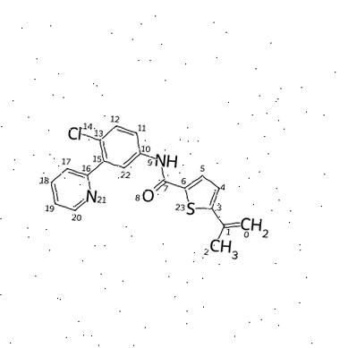 C=C(C)c1ccc(C(=O)Nc2ccc(Cl)c(-c3ccccn3)c2)s1